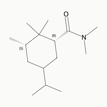 CC(C)C1C[C@H](C)C(C)(C)[C@H](C(=O)N(C)C)C1